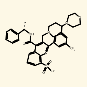 CC(C)S(=O)(=O)c1cccc2c(C(=O)N[C@@H](C)c3ccccc3)c(CN3CCC(N4CCOCC4)CC3)c(-c3cccc(C(F)(F)F)c3)nc12